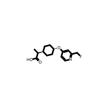 CC(C(=O)O)[C@H]1CC[C@H](Oc2ccnc(CF)c2)CC1